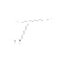 CCCCCCCCCCCOCCCCCCN(CCO)CCCCCCCC(=O)OC(CCCCCCCC)CCCCCCCC